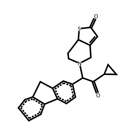 O=C1C=C2CN(C(C(=O)C3CC3)c3ccc4c(c3)Cc3ccccc3-4)CCC2S1